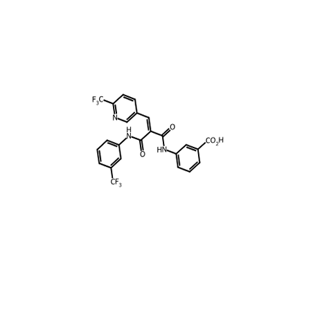 O=C(Nc1cccc(C(=O)O)c1)C(=Cc1ccc(C(F)(F)F)nc1)C(=O)Nc1cccc(C(F)(F)F)c1